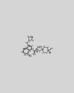 O=C(NCC1(O)CCC(F)(F)CC1)c1cn(CC2COC2)c2nccc(Cl)c12